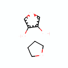 C1CCOC1.Oc1cocc1O